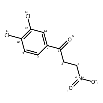 O=C(CC[N+](=O)[O-])c1ccc(Cl)c(Cl)c1